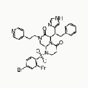 CCc1cc(Br)ccc1S(=O)(=O)N1CCC(=O)N2C(C(Cc3ccccc3)c3c[nH]cn3)C(=O)N(CCc3ccncc3)CC21